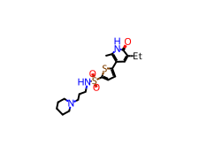 CCc1cc(-c2ccc(S(=O)(=O)NCCCN3CCCCC3)s2)c(C)[nH]c1=O